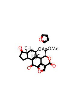 COC[C@H]1OC(=O)c2coc3c2[C@@]1(C)C1=C(C3=O)C2CCC(=O)[C@@]2(C)C[C@H]1OC(C)=O.c1ccoc1